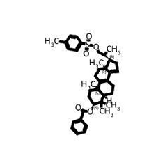 Cc1ccc(S(=O)(=O)OCC(C)[C@H]2CC=C3C4=C(CC[C@@]32C)[C@@]2(C)CC[C@H](OC(=O)c3ccccc3)C(C)(C)[C@H]2CC4)cc1